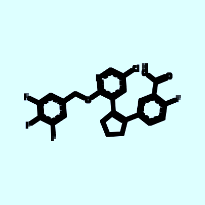 O=C(O)c1cc(C2=C(c3cc(Cl)cnc3OCc3cc(F)c(F)c(F)c3)CCC2)ccc1F